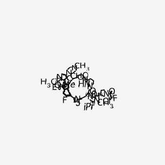 CCn1c(-c2cc(N3CCN(C)CC3)cnc2[C@H](C)OC)c2c3cc(c(F)cc31)-c1csc(n1)C[C@H](NC[C@H](C(C)C)N(C)C(=O)[C@H]1CCN(C(=O)[C@H](F)Cl)C1)C(=O)N1CCC[C@H](N1)C(=O)OCC(C)(C)C2